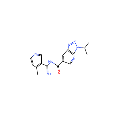 Cc1ccncc1C(=N)NC(=O)c1cnc2c(c1)nnn2C(C)C